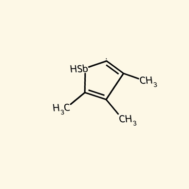 CC1=[C][SbH][C](C)=C1C